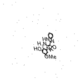 COc1cc(O)cc(N2C(N)=C(c3nc4ccccc4[nH]3)C(=O)C2(C)C)c1